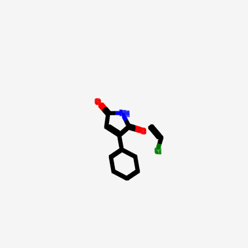 C=CCl.O=C1C=C(C2CCCCC2)C(=O)N1